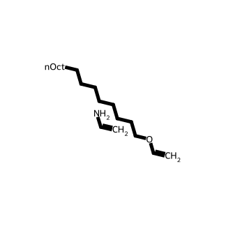 C=CN.C=COCCCCCCCCCCCCCCCC